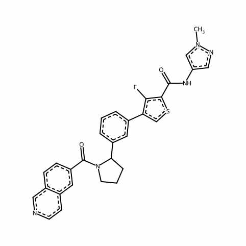 Cn1cc(NC(=O)c2scc(-c3cccc(C4CCCN4C(=O)c4ccc5cnccc5c4)c3)c2F)cn1